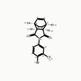 O=C1[C@@H]2[C@H](C(=O)N1c1ccc(Br)c(C(F)(F)F)c1)[C@@H]1C=C[C@H]2CC1